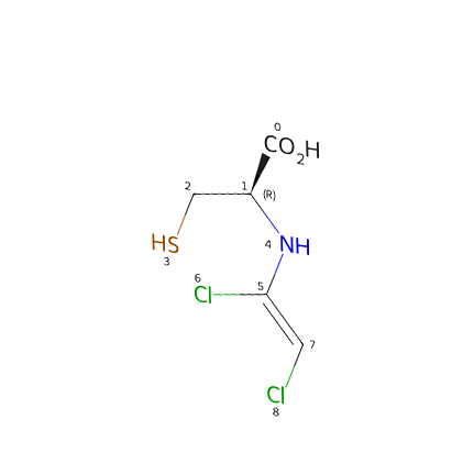 O=C(O)[C@H](CS)NC(Cl)=CCl